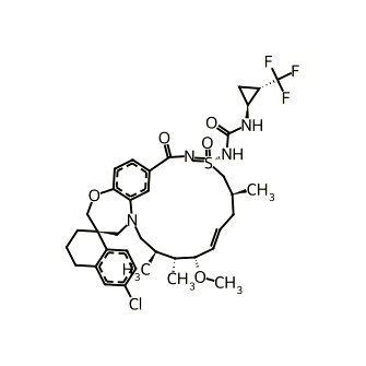 CO[C@H]1/C=C/C[C@H](C)C[S@@](=O)(NC(=O)N[C@H]2C[C@@H]2C(F)(F)F)=NC(=O)c2ccc3c(c2)N(C[C@H](C)[C@H]1C)C[C@@]1(CCCc2cc(Cl)ccc21)CO3